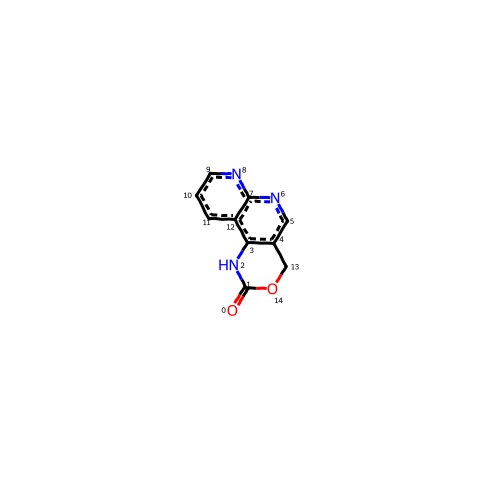 O=C1Nc2c(cnc3ncccc23)CO1